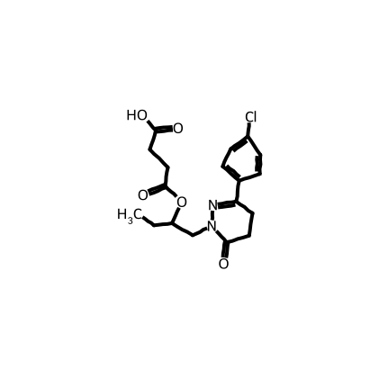 CCC(CN1N=C(c2ccc(Cl)cc2)CCC1=O)OC(=O)CCC(=O)O